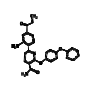 C=CC(=O)c1ccc(-c2ccc(C(N)=O)c(Oc3ccc(Oc4ccccc4)cc3)n2)c(N)c1